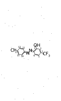 Oc1cc(C(F)(F)F)ccc1N=Nc1ccc(Cl)cc1